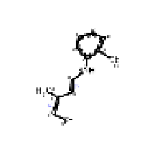 CC/N=C(C)\C=C\Nc1ccccc1CC